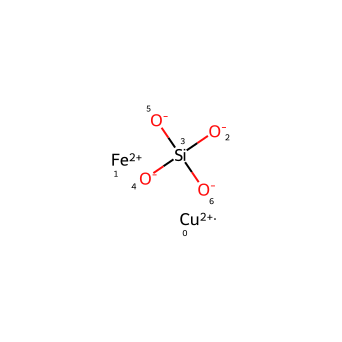 [Cu+2].[Fe+2].[O-][Si]([O-])([O-])[O-]